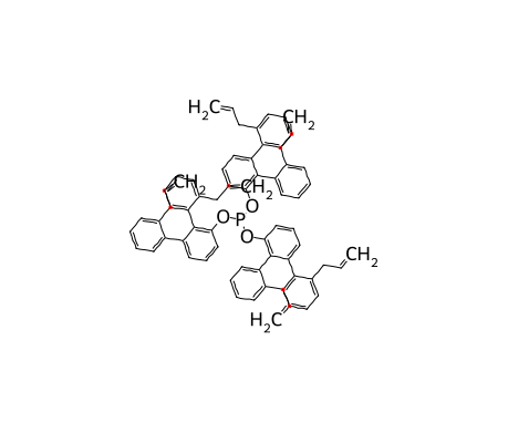 C=CCc1ccccc1-c1cccc(OP(Oc2cccc(-c3ccccc3CC=C)c2-c2ccccc2CC=C)Oc2cccc(-c3ccccc3CC=C)c2-c2ccccc2CC=C)c1-c1ccccc1CC=C